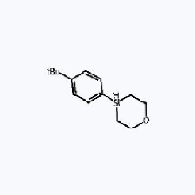 CC(C)(C)c1ccc([SiH]2CCOCC2)cc1